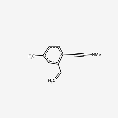 C=Cc1cc(C(F)(F)F)ccc1C#CNC